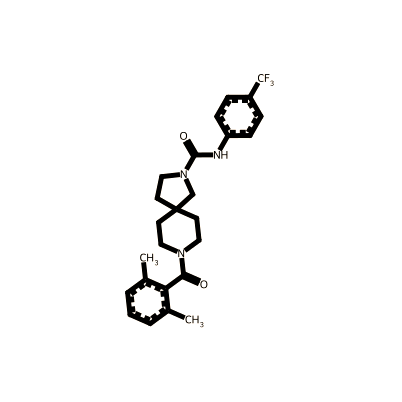 Cc1cccc(C)c1C(=O)N1CCC2(CCN(C(=O)Nc3ccc(C(F)(F)F)cc3)C2)CC1